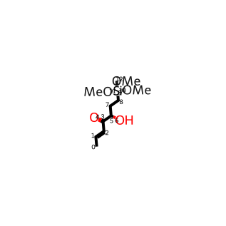 CC=CC(=O)C(O)CC[Si](OC)(OC)OC